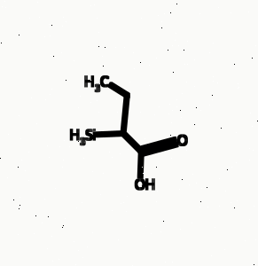 CCC([SiH3])C(=O)O